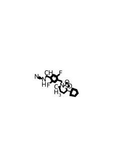 CC(NC#N)c1cc(F)c(CN2[C@@H](C)CC[C@H](c3ccccc3)S2(=O)=O)cc1F